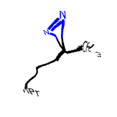 CCCCCC1(C)N=N1